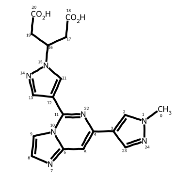 Cn1cc(-c2cc3nccn3c(-c3cnn(C(CC(=O)O)CC(=O)O)c3)n2)cn1